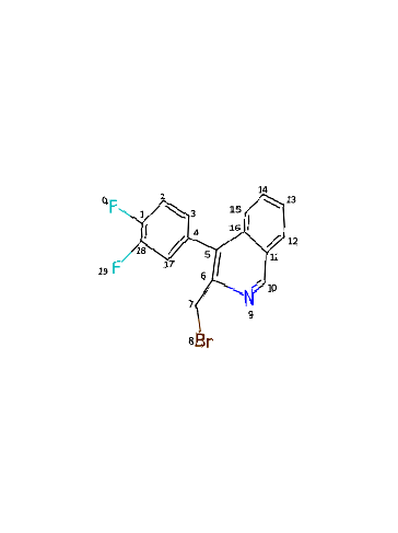 Fc1ccc(-c2c(CBr)ncc3ccccc23)cc1F